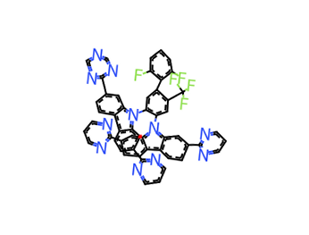 Fc1cccc(F)c1-c1cc(-n2c3cc(-c4ncccn4)ccc3c3ccc(-c4ncncn4)cc32)c(-n2c3cc(-c4ncccn4)ccc3c3ccc(-c4ncccn4)cc32)cc1C(F)(F)F